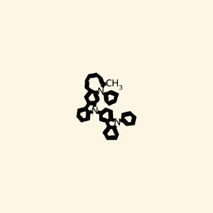 Cc1cccccc2cc3c4ccccc4n(-c4ccc5c(c4)c4ccccc4n5-c4ccccc4)c3cc2n1-c1ccccc1